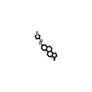 C=C1CCC2C3CCC4CC(=NOC5CCN(C)C5)CC[C@]4(C)C3CC[C@]12C